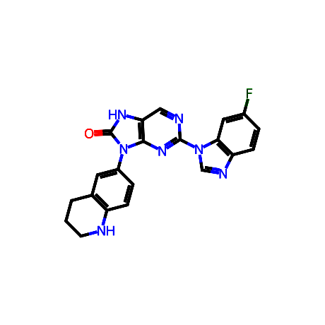 O=c1[nH]c2cnc(-n3cnc4ccc(F)cc43)nc2n1-c1ccc2c(c1)CCCN2